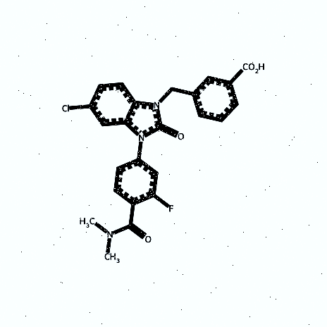 CN(C)C(=O)c1ccc(-n2c(=O)n(Cc3cccc(C(=O)O)c3)c3ccc(Cl)cc32)cc1F